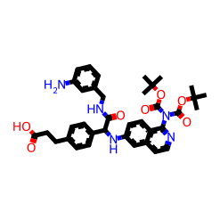 CC(C)(C)OC(=O)N(C(=O)OC(C)(C)C)c1nccc2cc(NC(C(=O)NCc3cccc(N)c3)c3ccc(CCC(=O)O)cc3)ccc12